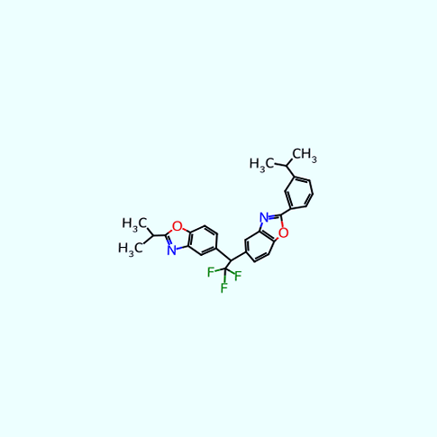 CC(C)c1cccc(-c2nc3cc(C(c4ccc5oc(C(C)C)nc5c4)C(F)(F)F)ccc3o2)c1